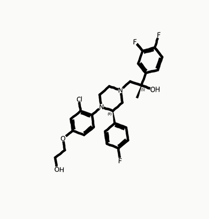 C[C@@](O)(CN1CCN(c2ccc(OCCO)cc2Cl)[C@H](c2ccc(F)cc2)C1)c1ccc(F)c(F)c1